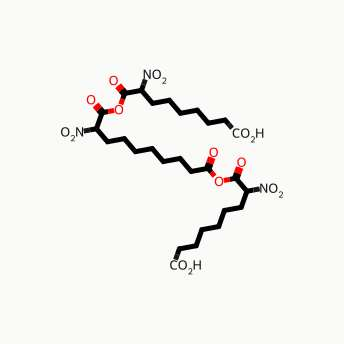 O=C(O)CCCCCCC(C(=O)OC(=O)CCCCCCCC(C(=O)OC(=O)C(CCCCCCC(=O)O)[N+](=O)[O-])[N+](=O)[O-])[N+](=O)[O-]